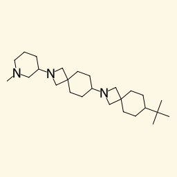 CN1CCCC(N2CC3(CCC(N4CC5(CCC(C(C)(C)C)CC5)C4)CC3)C2)C1